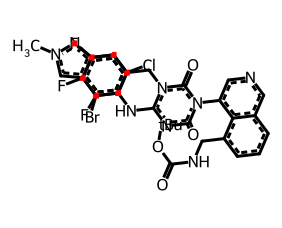 Cn1cc2c(Br)c(Nc3nc(=O)n(-c4cncc5cccc(CNC(=O)OC(C)(C)C)c45)c(=O)n3Cc3cc(F)c(F)c(F)c3)c(Cl)cc2n1